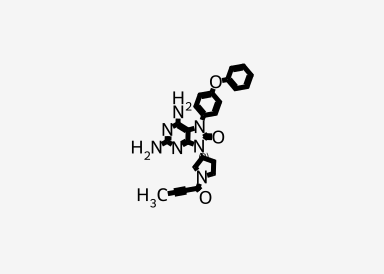 CC#CC(=O)N1CC[C@@H](n2c(=O)n(-c3ccc(Oc4ccccc4)cc3)c3c(N)nc(N)nc32)C1